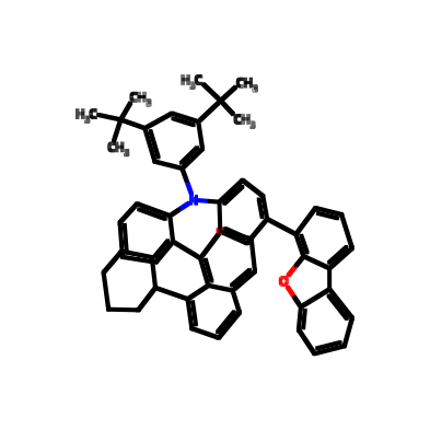 CC(C)(C)c1cc(N(c2ccc(-c3cccc4c3oc3ccccc34)cc2)c2ccccc2C2=c3c(C4CCCCC4)cccc3=CCC2)cc(C(C)(C)C)c1